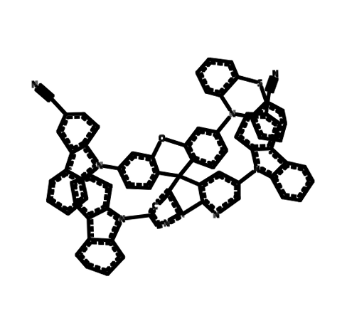 N#Cc1ccc2c(c1)c1ccccc1n2-c1ccc2c(c1)Oc1cc(N3c4ccccc4Sc4ccccc43)ccc1C21c2cc(-n3c4ccccc4c4ccccc43)cnc2-c2ncc(-n3c4ccccc4c4cc(C#N)ccc43)cc21